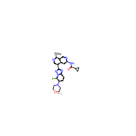 CNc1ncc(-c2nc3ccc(N4CCO[C@@H](C)C4)c(F)n3n2)c2cc(NC(=O)C3CC3)ncc12